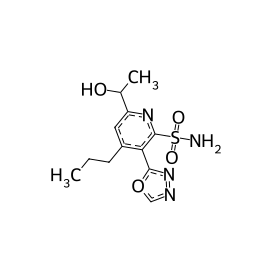 CCCc1cc(C(C)O)nc(S(N)(=O)=O)c1-c1nnco1